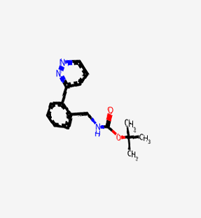 CC(C)(C)OC(=O)NCc1ccccc1-c1cccnn1